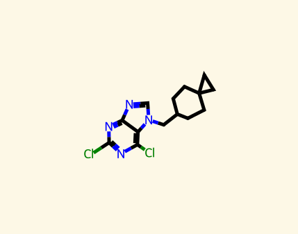 Clc1nc(Cl)c2c(ncn2CC2CCC3(CC2)CC3)n1